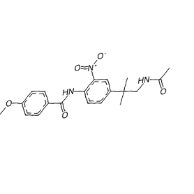 COc1ccc(C(=O)Nc2ccc(C(C)(C)CNC(C)=O)cc2[N+](=O)[O-])cc1